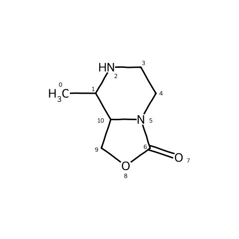 CC1NCCN2C(=O)OCC12